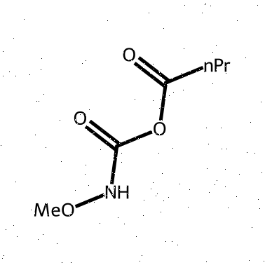 CCCC(=O)OC(=O)NOC